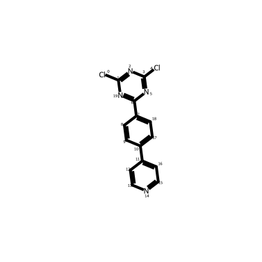 Clc1nc(Cl)nc(-c2ccc(-c3ccncc3)cc2)n1